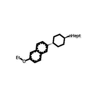 CCCCCCC[C@H]1CC[C@H](c2ccc3cc(OCC)ccc3c2)CC1